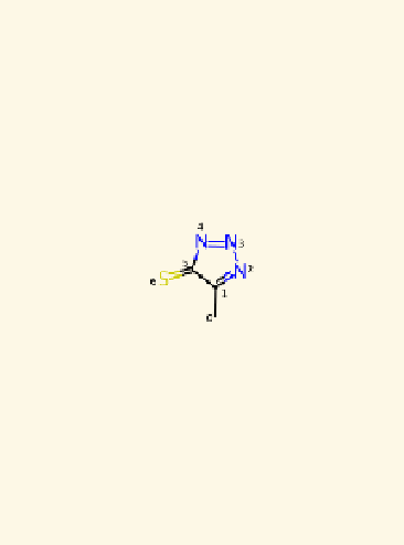 CC1=NN=NC1=S